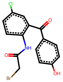 O=C(CBr)Nc1ccc(Cl)cc1C(=O)c1ccc(O)cc1